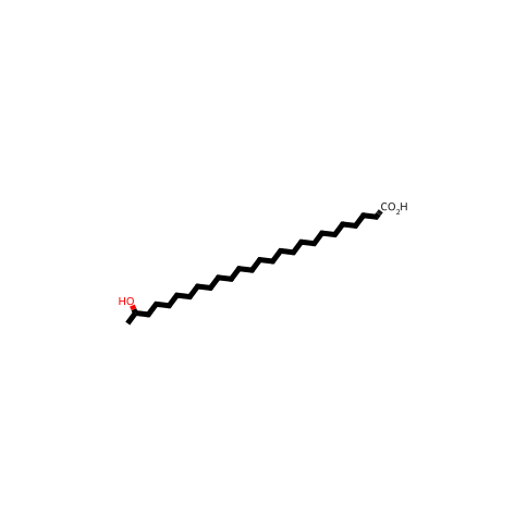 CC(O)CCCCCCCCCCCCCCCCCCCCCCCC(=O)O